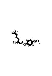 CCC(C)=CCCC(=CCOc1ccc([N+](=O)[O-])cc1)CC